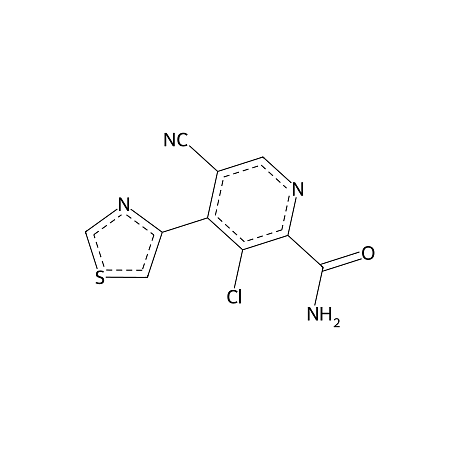 N#Cc1cnc(C(N)=O)c(Cl)c1-c1cscn1